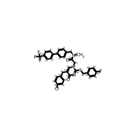 CN(Cc1ccc(-c2ccc(C(F)(F)F)cc2)cc1)C(=O)Cn1cc(Cc2ccc(Cl)cc2)c(=O)nc1SCc1ccc(F)cc1